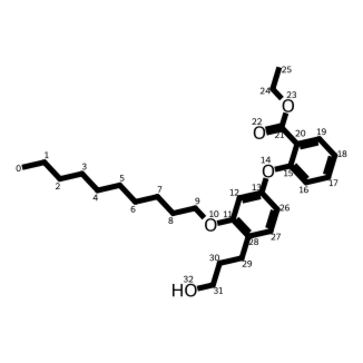 CCCCCCCCCCOc1cc(Oc2ccccc2C(=O)OCC)ccc1CCCO